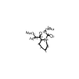 CCCCOC(=O)N1CCCCC1C(=O)C(OC)C(C)=O